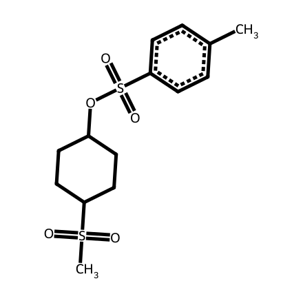 Cc1ccc(S(=O)(=O)OC2CCC(S(C)(=O)=O)CC2)cc1